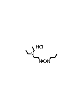 CCCN=C=NCCN(CC)CC.Cl